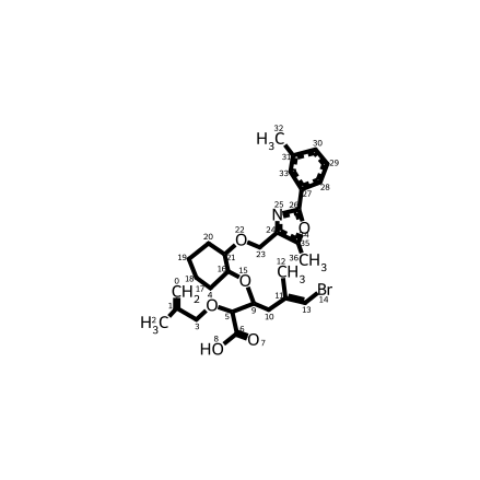 C=C(C)COC(C(=O)O)C(CC(C)=CBr)OC1CCCCC1OCc1nc(-c2cccc(C)c2)oc1C